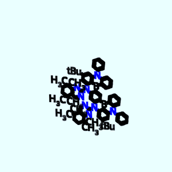 CC(C)(C)c1cc2c3c(c1)N(c1ncc4c(n1)C(C)(C)CCC4(C)C)c1cc4c(cc1B3c1ccccc1N2c1ccccc1)B1c2ccccc2N(c2ccccc2)c2cc(C(C)(C)C)cc(c21)N4c1ncc2c(n1)C(C)(C)CCC2(C)C